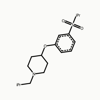 CC(C)CN1CCC(Oc2cccc(S(=O)(=O)C(C)C)c2)CC1